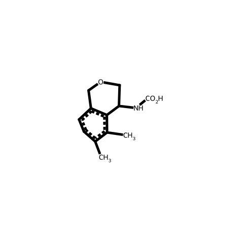 Cc1ccc2c(c1C)C(NC(=O)O)COC2